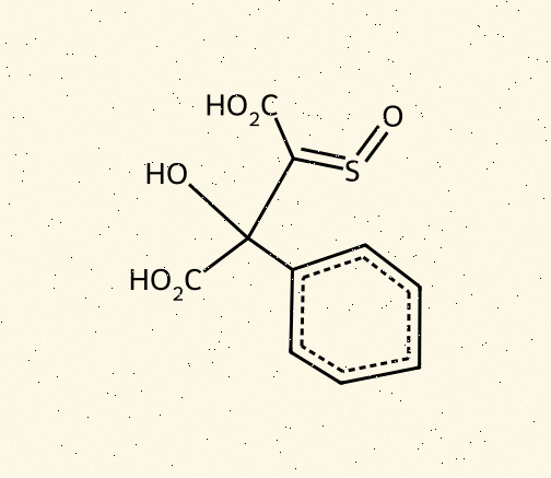 O=S=C(C(=O)O)C(O)(C(=O)O)c1ccccc1